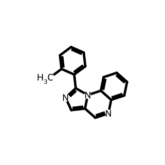 Cc1ccccc1-c1ncc2cnc3ccccc3n12